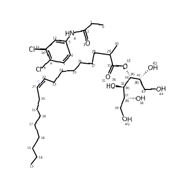 CCC(=O)Nc1ccc(Cl)c(Cl)c1.CCCCCCCC/C=C\CCCCCCC(C)C(=O)O[C@@H]([C@H](O)[C@H](O)CO)[C@H](O)CO